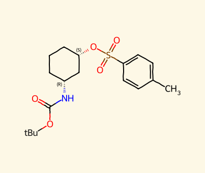 Cc1ccc(S(=O)(=O)O[C@H]2CCC[C@@H](NC(=O)OC(C)(C)C)C2)cc1